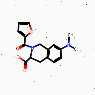 CN(C)c1ccc2c(c1)CN(C(=O)c1ccco1)C(C(=O)O)C2